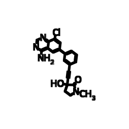 CN1CCC(O)(C#Cc2cccc(-c3cc(Cl)c4ncnc(N)c4c3)c2)C1=O